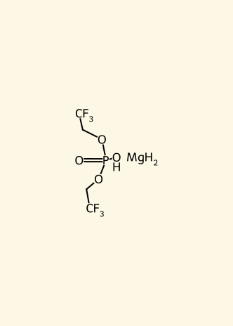 O=P(O)(OCC(F)(F)F)OCC(F)(F)F.[MgH2]